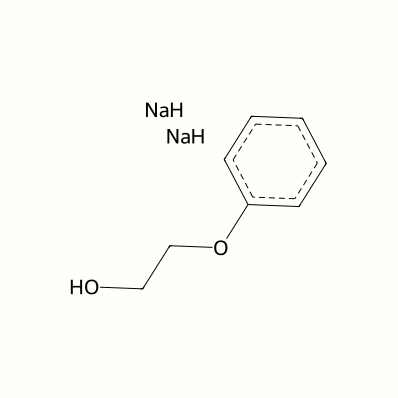 OCCOc1ccccc1.[NaH].[NaH]